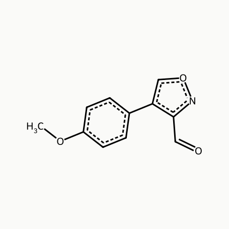 COc1ccc(-c2conc2C=O)cc1